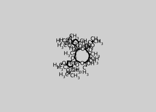 CC[C@H]1OC(=O)[C@H](C)[C@@H](OC2C[C@@](C)(OC)[C@@H](O[Si](C)(C)C)[C@H](C)O2)[C@H](C)[C@@H](O[C@@H]2O[C@H](C)C[C@H](N(C)C)[C@H]2O[Si](C)(C)C)[C@](C)(O)C[C@](C)(F)[C@H](OC(=O)OC(C)(C)C)[C@H](C)[C@@H](O)[C@]1(C)O